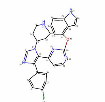 Fc1ccc(-c2ncn(C3CCNCC3)c2-c2ccnc(Oc3cccc4[nH]ccc34)n2)cc1